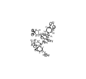 CC(C)(C)Cc1cnc2c(c1)[C@@H](NC[C@H](O)[C@H](Cc1ccc3c(c1)OCO3)NC(=O)C1CCS(=O)(=O)C1)CC1(CCC1)O2